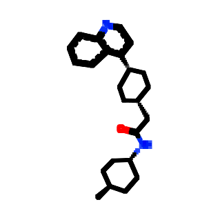 C[C@H]1CC[C@H](NC(=O)C[C@H]2CC[C@@H](c3ccnc4ccccc43)CC2)CC1